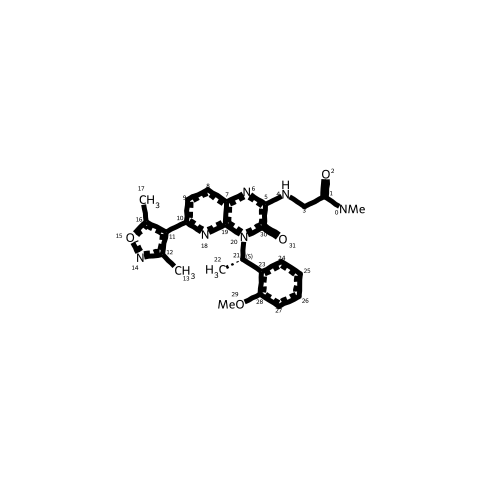 CNC(=O)CNc1nc2ccc(-c3c(C)noc3C)nc2n([C@@H](C)c2ccccc2OC)c1=O